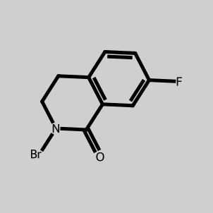 O=C1c2cc(F)ccc2CCN1Br